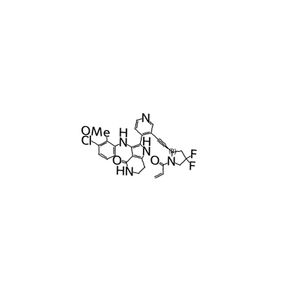 C=CC(=O)N1CC(F)(F)C[C@@H]1C#Cc1cnccc1-c1[nH]c2c(c1Nc1cccc(Cl)c1OC)C(=O)NCC2